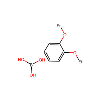 CCOc1ccccc1OCC.OB(O)O